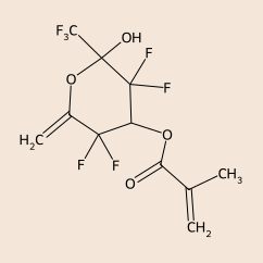 C=C(C)C(=O)OC1C(F)(F)C(=C)OC(O)(C(F)(F)F)C1(F)F